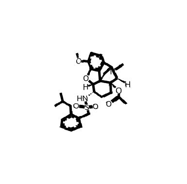 COc1ccc2c3c1O[C@H]1[C@@H](NS(=O)(=O)Cc4ccccc4CC(C)C)CC[C@@]4(OC(C)=O)[C@@H](C2)N(C)CC[C@]314